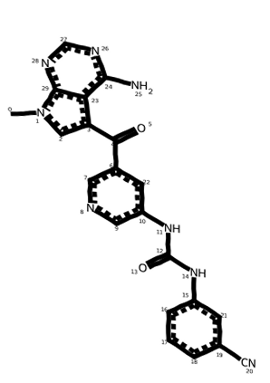 Cn1cc(C(=O)c2cncc(NC(=O)Nc3cccc(C#N)c3)c2)c2c(N)ncnc21